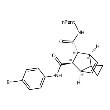 CCCCCNC(=O)[C@H]1[C@H](C(=O)Nc2ccc(Br)cc2)[C@@H]2C=C[C@H]1C21CC1